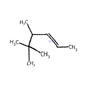 C/C=C/C(C)C(C)(C)C